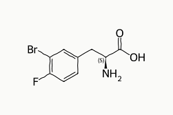 N[C@@H](Cc1ccc(F)c(Br)c1)C(=O)O